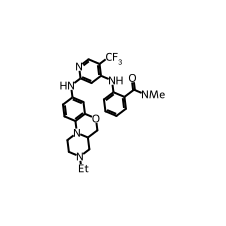 CCN1CCN2c3ccc(Nc4cc(Nc5ccccc5C(=O)NC)c(C(F)(F)F)cn4)cc3OCC2C1